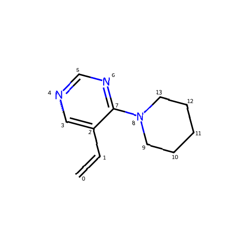 C=Cc1cncnc1N1CCCCC1